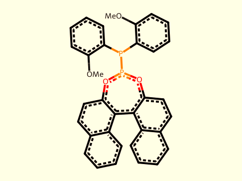 COc1ccccc1P(c1ccccc1OC)p1oc2ccc3ccccc3c2c2c(ccc3ccccc32)o1